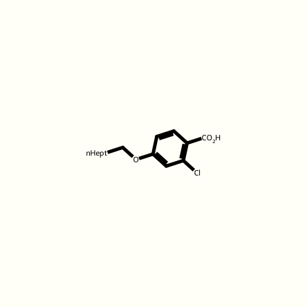 CCCCCCCCOc1ccc(C(=O)O)c(Cl)c1